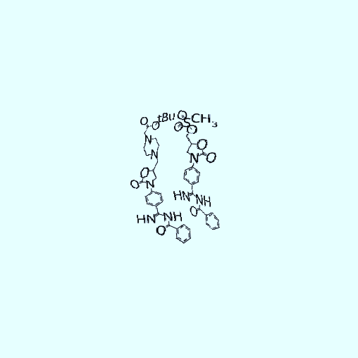 CC(C)(C)OC(=O)CN1CCN(CC2CN(c3ccc(C(=N)NC(=O)c4ccccc4)cc3)C(=O)O2)CC1.CS(=O)(=O)OCC1CN(c2ccc(C(=N)NC(=O)c3ccccc3)cc2)C(=O)O1